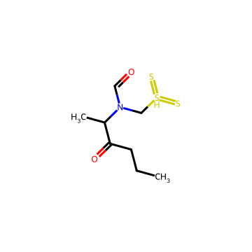 CCCC(=O)C(C)N(C=O)C[SH](=S)=S